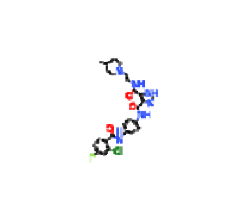 CC1CCN(CCNC(=O)c2[nH]cnc2C(=O)Nc2ccc(NC(=O)c3ccc(F)cc3Cl)cc2)CC1